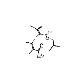 CC(C)=C(C)C(=O)O.CC(C)=C(C)C(=O)OCC(C)C